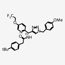 COc1ccc(Cn2cc([C@H](NC(=O)Cc3ccc(C(C)(C)C)cc3)c3ccc(OCC(F)(F)F)cn3)nn2)cc1